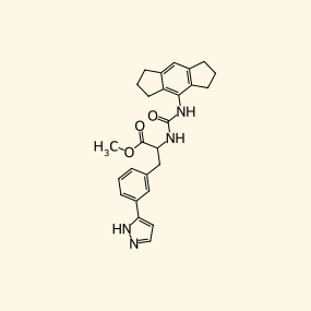 COC(=O)C(Cc1cccc(-c2ccn[nH]2)c1)NC(=O)Nc1c2c(cc3c1CCC3)CCC2